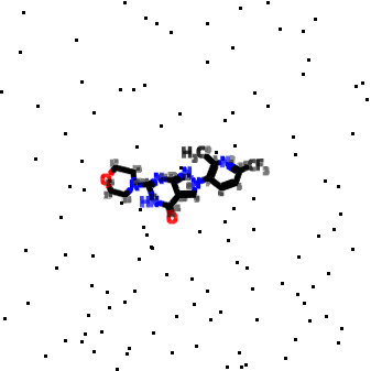 Cc1nc(C(F)(F)F)ccc1-n1cc2c(=O)[nH]c(N3CCOCC3)nc2n1